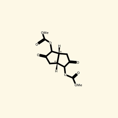 COC(=O)OC1C(=O)C[C@H]2C(OC(=O)OC)C(=O)C[C@@H]12